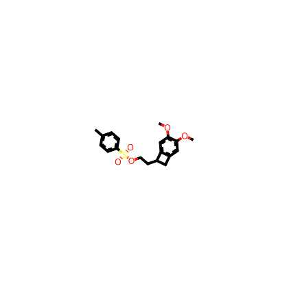 COc1cc2c(cc1OC)C(CCOS(=O)(=O)c1ccc(C)cc1)C2